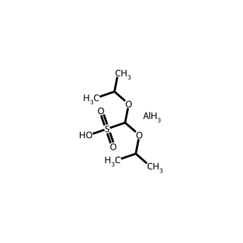 CC(C)OC(OC(C)C)S(=O)(=O)O.[AlH3]